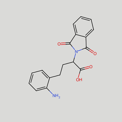 Nc1ccccc1CCC(C(=O)O)N1C(=O)c2ccccc2C1=O